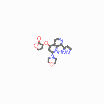 O=C1OCCC1Oc1cc(N2CCOCC2)nc2c(-c3ccn[nH]3)nccc12